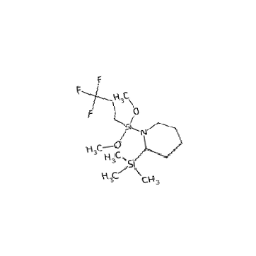 CO[Si](CCC(F)(F)F)(OC)N1CCCCC1[Si](C)(C)C